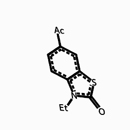 CCn1c(=O)sc2cc(C(C)=O)ccc21